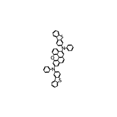 c1ccc(N(c2cc3c4c(ccc5cc(N(c6ccccc6)c6ccc7c(c6)sc6ccccc67)c6cccc(c6c54)O3)c2)c2ccc3sc4ccccc4c3c2)cc1